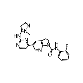 Cn1nccc1Nc1nccc(-c2cnc3c(c2)CCN3C(=O)Nc2ccccc2F)n1